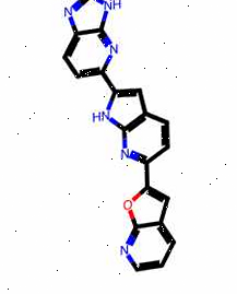 c1cnc2oc(-c3ccc4cc(-c5ccc6nc[nH]c6n5)[nH]c4n3)cc2c1